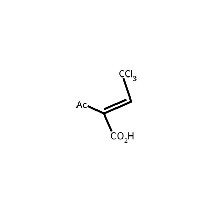 CC(=O)/C(=C\C(Cl)(Cl)Cl)C(=O)O